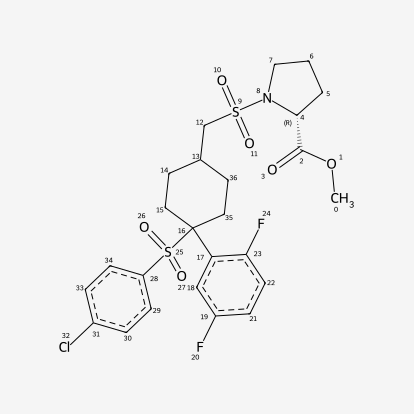 COC(=O)[C@H]1CCCN1S(=O)(=O)CC1CCC(c2cc(F)ccc2F)(S(=O)(=O)c2ccc(Cl)cc2)CC1